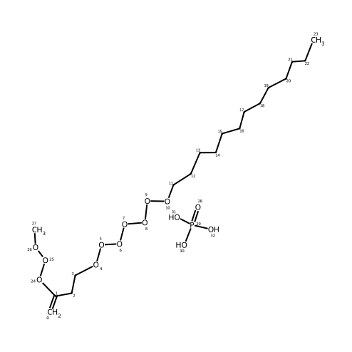 C=C(CCOOOOOOOCCCCCCCCCCCCC)OOOC.O=P(O)(O)O